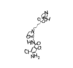 COc1cc(N)c(Cl)cc1C(=O)NC[C@H]1CN(CCCCC(=O)O[C@H]2CN3CCC2CC3)CCO1